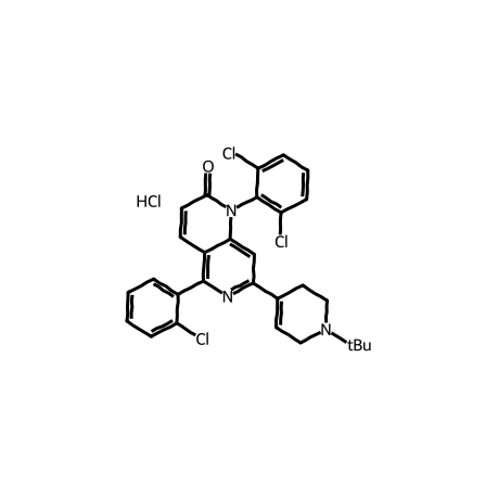 CC(C)(C)N1CC=C(c2cc3c(ccc(=O)n3-c3c(Cl)cccc3Cl)c(-c3ccccc3Cl)n2)CC1.Cl